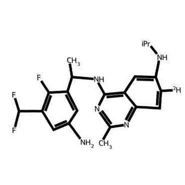 [2H]c1cc2nc(C)nc(NC(C)c3cc(N)cc(C(F)F)c3F)c2cc1NC(C)C